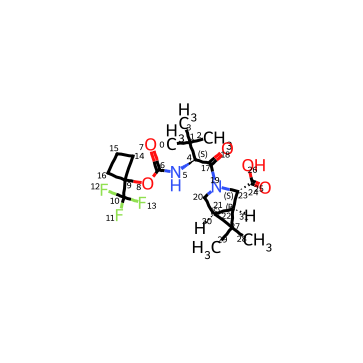 CC(C)(C)[C@H](NC(=O)OC1(C(F)(F)F)CCC1)C(=O)N1C[C@H]2[C@@H]([C@H]1C(=O)O)C2(C)C